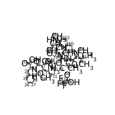 CC[C@H](C)[C@@H]([C@@H](CC(=O)N1CCC[C@H]1[C@H](OC)[C@@H](C)C(=O)N[C@@H](Cc1ccccc1)C(=O)O)OC)N(C)C(=O)[C@@H](NC(=O)[C@H](C(C)C)N(C)CCc1ccc(NC)cc1)C(C)C.O=C(O)C(F)(F)F